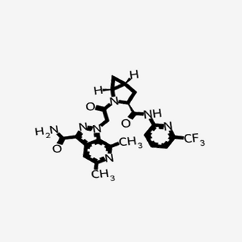 Cc1cc2c(C(N)=O)nn(CC(=O)N3[C@@H]4C[C@@H]4C[C@H]3C(=O)Nc3cccc(C(F)(F)F)n3)c2c(C)n1